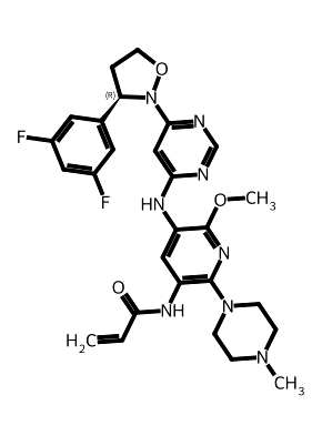 C=CC(=O)Nc1cc(Nc2cc(N3OCC[C@@H]3c3cc(F)cc(F)c3)ncn2)c(OC)nc1N1CCN(C)CC1